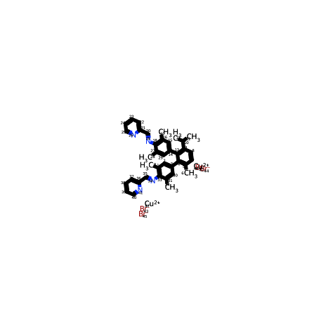 Cc1cc(-c2c(C)ccc(C(C)C)c2-c2cc(C)c(/N=C/c3ccccn3)c(C)c2)cc(C)c1/N=C/c1ccccn1.[Br-].[Br-].[Br-].[Br-].[Cu+2].[Cu+2]